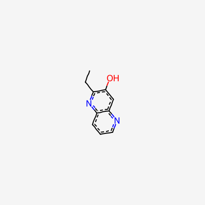 CCc1nc2cccnc2cc1O